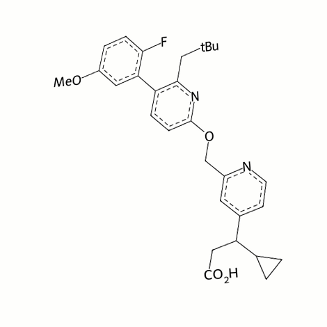 COc1ccc(F)c(-c2ccc(OCc3cc(C(CC(=O)O)C4CC4)ccn3)nc2CC(C)(C)C)c1